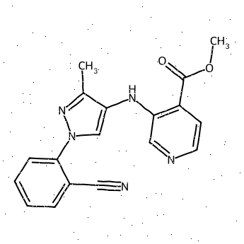 COC(=O)c1ccncc1Nc1cn(-c2ccccc2C#N)nc1C